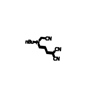 CCCCN(C=CC=C(C#N)C#N)CC#N